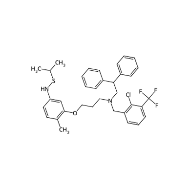 Cc1ccc(NSC(C)C)cc1OCCCN(Cc1cccc(C(F)(F)F)c1Cl)CC(c1ccccc1)c1ccccc1